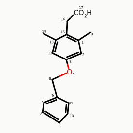 Cc1cc(OCc2ccccc2)cc(C)c1CC(=O)O